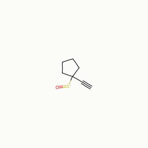 C#CC1([S+]=O)CCCC1